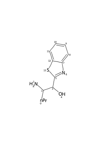 CCCC(N)C(O)c1nc2ccccc2s1